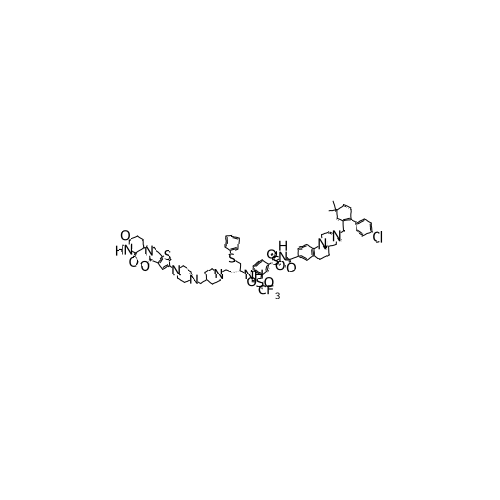 CC1(C)CCC(c2ccc(Cl)cc2)=C(CN2CCN3c4ccc(C(=O)NS(=O)(=O)c5ccc(N[C@H](CCN6CCC(CN7CCN(c8cc9c(s8)CN(C8CCC(=O)NC8=O)C9=O)CC7)CC6)CSc6ccccc6)c(S(=O)(=O)C(F)(F)F)c5)cc4CCC3C2)C1